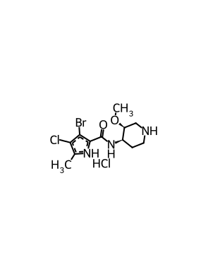 CO[C@H]1CNCC[C@H]1NC(=O)c1[nH]c(C)c(Cl)c1Br.Cl